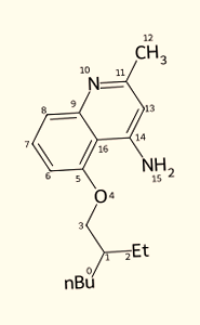 CCCCC(CC)COc1cccc2nc(C)cc(N)c12